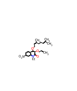 C=CCOc1c(OCC=C(C)CCC=C(C)C)c2ccc([N+](=O)[O-])cc2n(CC)c1=O